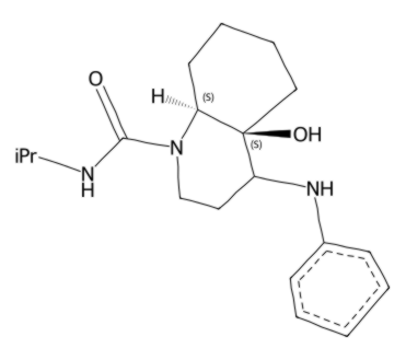 CC(C)NC(=O)N1CCC(Nc2ccccc2)[C@@]2(O)CCCC[C@H]12